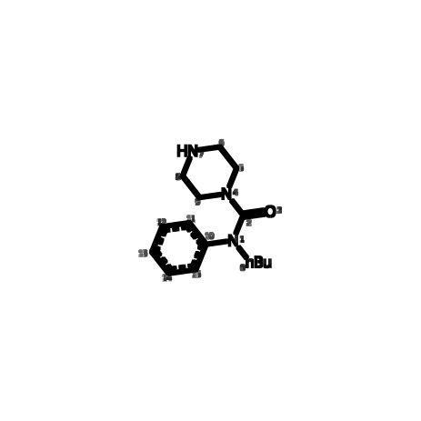 CCCCN(C(=O)N1CCNCC1)c1ccccc1